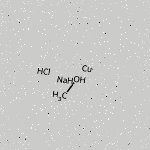 CO.Cl.[Cu].[NaH]